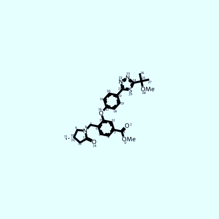 COC(=O)c1ccc(CN2C[C@@H](C)CC2=O)c(Oc2ccc(-c3nnc(C(C)(C)OC)s3)cc2)c1